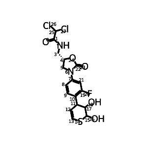 O=C(NC[C@H]1CN(c2ccc(C3C=CSC(O)C3O)c(F)c2)C(=O)O1)C(Cl)Cl